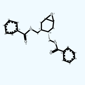 O=C(OC[C@H]1CC2OC2C[C@@H]1COC(=O)c1ccccc1)c1ccccc1